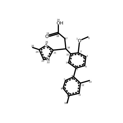 COc1ccc(-c2ccc(C)cc2C)cc1C(CC(=O)O)c1ncc(C)s1